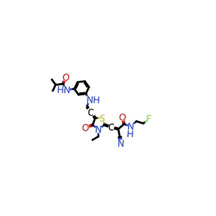 CCn1c(=C=C(C#N)C(=O)NCCF)sc(=C=CNc2cccc(NC(=O)C(C)C)c2)c1=O